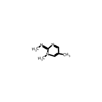 C/N=c1/ncc(C)cn1C